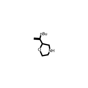 C=C(CCCC)C1CNCCO1